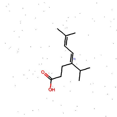 CC(C)=C/C=C(\CCC(=O)O)C(C)C